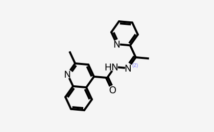 C/C(=N/NC(=O)c1cc(C)nc2ccccc12)c1ccccn1